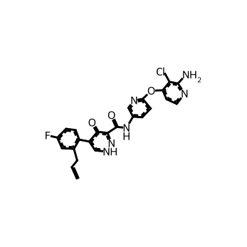 C=CCc1cc(F)ccc1-c1c[nH]nc(C(=O)Nc2ccc(Oc3ccnc(N)c3Cl)nc2)c1=O